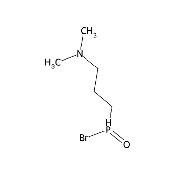 CN(C)CCC[PH](=O)Br